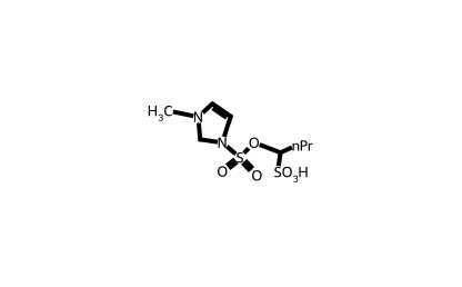 CCCC(OS(=O)(=O)N1C=CN(C)C1)S(=O)(=O)O